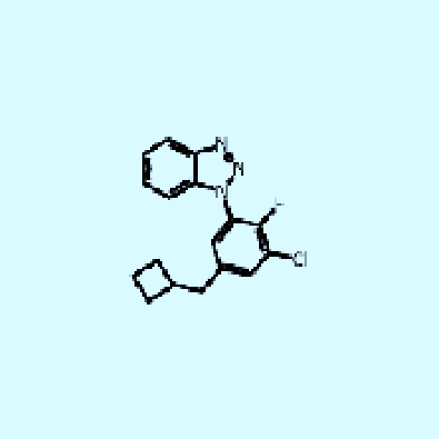 Fc1c(Cl)cc(CC2CCC2)cc1-n1nnc2ccccc21